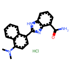 CN(C)c1ccc(-c2nc3c(C(N)=O)cccc3[nH]2)c2ccccc12.Cl